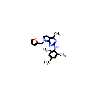 Cc1cc(C)c(Nc2nc(C)c3c(n2)N(Cc2ccco2)CC3)c(C)c1